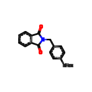 CCCCCCc1ccc(CN2C(=O)c3ccccc3C2=O)cc1